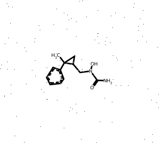 CC1(c2ccccc2)CC1CN(O)C(N)=O